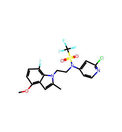 COc1ccc(F)c2c1cc(C)n2CCN(c1ccnc(Cl)c1)S(=O)(=O)C(F)(F)F